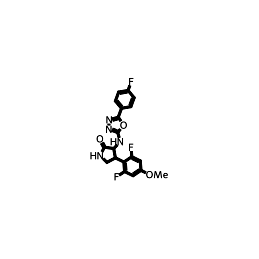 COc1cc(F)c(C2CNC(=O)C2Nc2nnc(-c3ccc(F)cc3)o2)c(F)c1